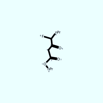 CCCOC(=O)CC(=O)C(F)CCC